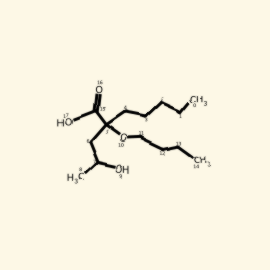 CCCCCC(CC(C)O)(OCCCC)C(=O)O